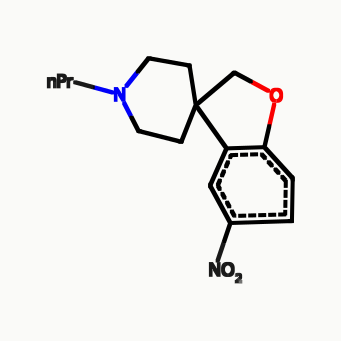 CCCN1CCC2(CC1)COc1ccc([N+](=O)[O-])cc12